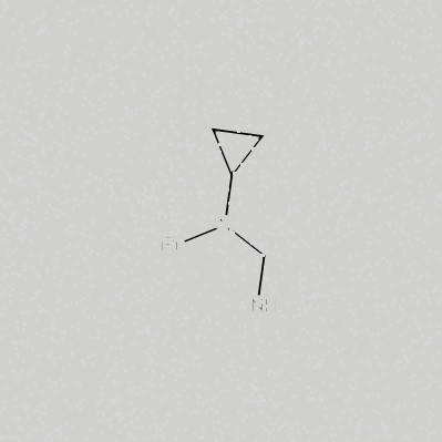 CC(C)N(C[NH])C1CC1